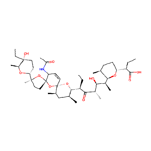 CCC(C(=O)O)[C@H]1CC[C@H](C)[C@H]([C@@H](C)[C@H](O)[C@H](C)C(=O)[C@H](CC)[C@H]2O[C@]3(C=CC(NC(C)=O)[C@]4(CC[C@@](C)([C@H]5CC[C@](O)(CC)[C@H](C)O5)O4)O3)[C@H](C)C[C@@H]2C)O1